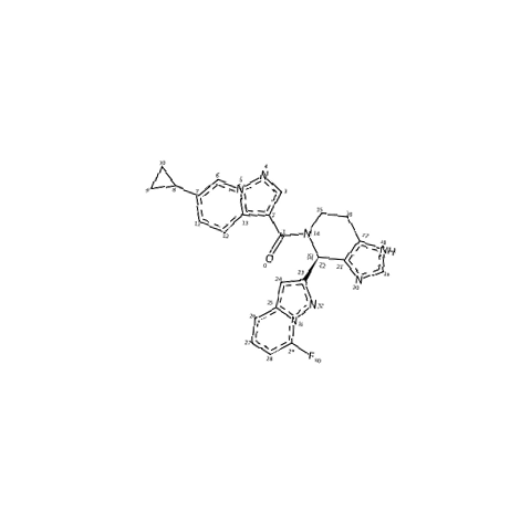 O=C(c1cnn2cc(C3CC3)ccc12)N1CCc2[nH]cnc2[C@H]1c1cc2cccc(F)n2n1